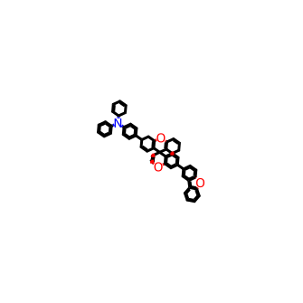 C1=CCC(N(c2ccccc2)c2ccc(C3C=CC4=C(C3)OC3=C(CCC=C3)C43c4ccccc4Oc4cc(-c5ccc6oc7ccccc7c6c5)ccc43)cc2)C=C1